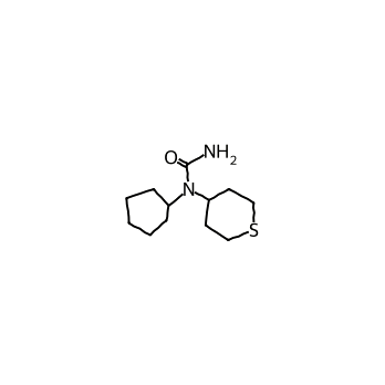 NC(=O)N(C1CCCCC1)C1CCSCC1